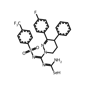 N/C([SeH])=N\C(=N\S(=O)(=O)c1ccc(C(F)(F)F)cc1)N1CCC(c2ccccc2)C(c2ccc(F)cc2)=N1